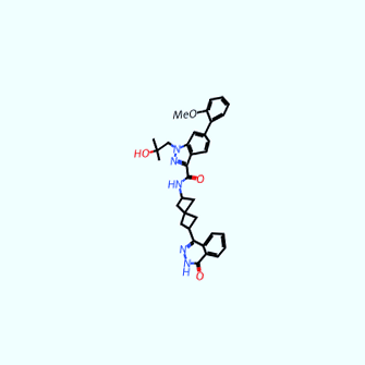 COc1ccccc1-c1ccc2c(C(=O)NC3CC4(C3)CC(c3n[nH]c(=O)c5ccccc35)C4)nn(CC(C)(C)O)c2c1